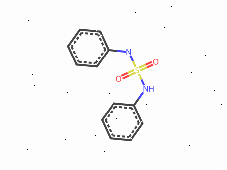 O=S(=O)([N]c1ccccc1)Nc1ccccc1